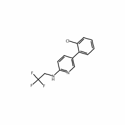 FC(F)(F)CNc1ccc(-c2ccccc2Cl)cn1